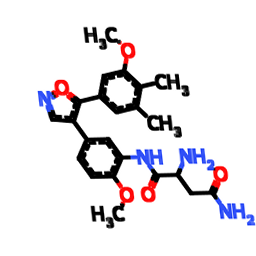 COc1ccc(-c2cnoc2-c2cc(C)c(C)c(OC)c2)cc1NC(=O)C(N)CC(N)=O